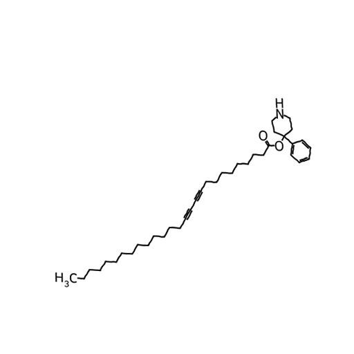 CCCCCCCCCCCCCCC#CC#CCCCCCCCCC(=O)OC1(c2ccccc2)CCNCC1